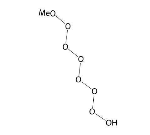 COOOOOOOO